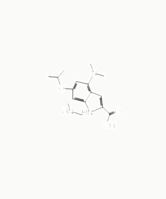 CC(C)Oc1cc(N(C)C)c2cc(C(=O)O)[nH]c2c1.CNC